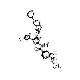 CCNc1ncc(C(=O)Nc2nc(-c3cc(Cl)cs3)c(N3CC4CCN(C5CCCCC5)CC4C3)s2)cc1Cl